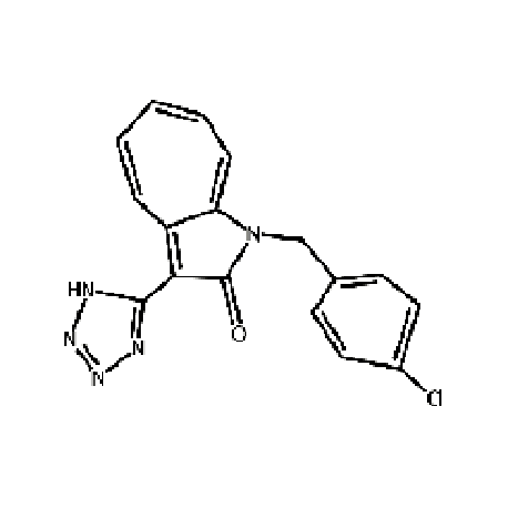 O=c1c(-c2nnn[nH]2)c2cccccc-2n1Cc1ccc(Cl)cc1